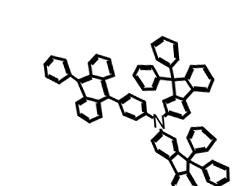 c1ccc(-c2c3ccccc3c(-c3ccc(N(c4ccc5c(c4)C(c4ccccc4)(c4ccccc4)c4ccccc4-5)c4ccc5c(c4)C(c4ccccc4)(c4ccccc4)c4ccccc4-5)cc3)c3ccccc23)cc1